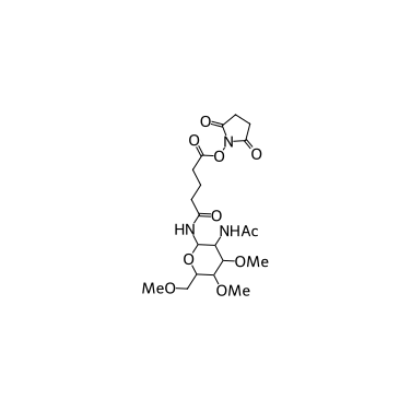 COCC1OC(NC(=O)CCCC(=O)ON2C(=O)CCC2=O)C(NC(C)=O)C(OC)C1OC